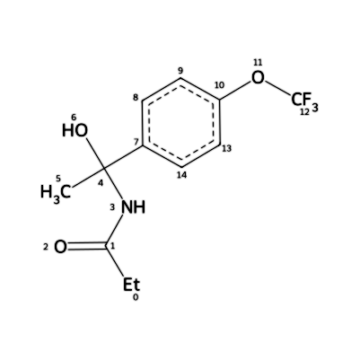 CCC(=O)NC(C)(O)c1ccc(OC(F)(F)F)cc1